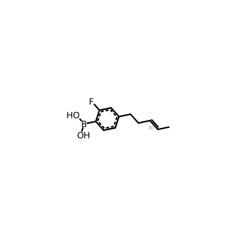 C/C=C/CCc1ccc(B(O)O)c(F)c1